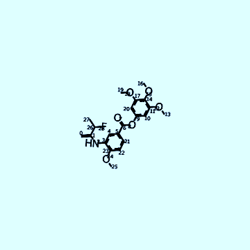 C=C(Nc1cc(C(=O)Oc2cc(OC)c(OC)c(OC)c2)ccc1OC)C(C)F